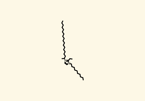 CCCCCCCCCCCCCCCCCC(C)[n+]1ccn(CCCCCCCCCC)c1CC